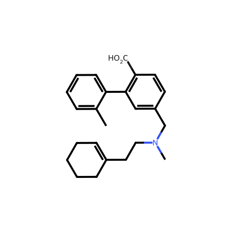 Cc1ccccc1-c1cc(CN(C)CCC2=CCCCC2)ccc1C(=O)O